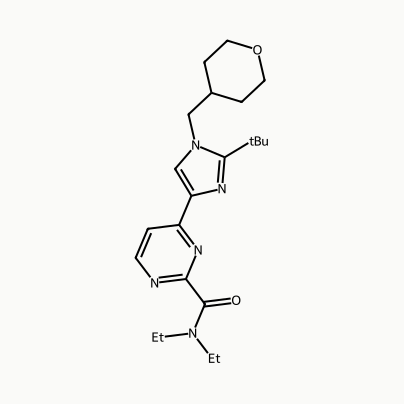 CCN(CC)C(=O)c1nccc(-c2cn(CC3CCOCC3)c(C(C)(C)C)n2)n1